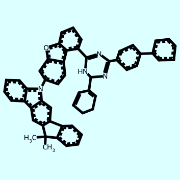 CC1(C)c2ccccc2-c2cc3c(cc21)c1ccccc1n3-c1ccc2c(c1)oc1cccc(C3=NC(c4ccc(-c5ccccc5)cc4)=NC(C4=CCCC=C4)N3)c12